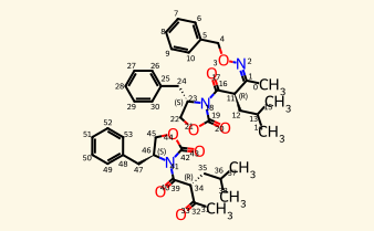 CC(=NOCc1ccccc1)[C@@H](CC(C)C)C(=O)N1C(=O)OC[C@@H]1Cc1ccccc1.CC(=O)[C@@H](CC(C)C)C(=O)N1C(=O)OC[C@@H]1Cc1ccccc1